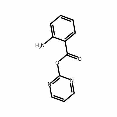 Nc1ccccc1C(=O)Oc1ncccn1